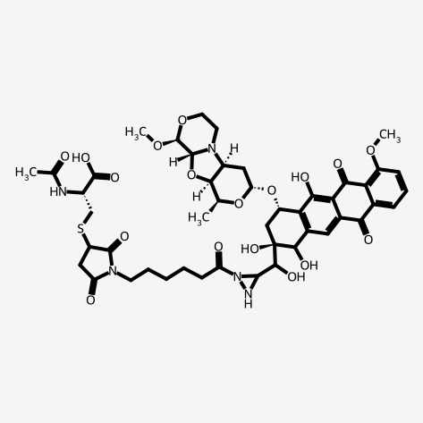 COc1cccc2c1C(=O)c1c(cc3c(c1O)[C@@H](O[C@H]1C[C@H]4[C@H](O[C@@H]5[C@@H](OC)OCCN54)[C@H](C)O1)C[C@@](O)(C(O)C1NN1C(=O)CCCCCN1C(=O)CC(SC[C@H](NC(C)=O)C(=O)O)C1=O)C3O)C2=O